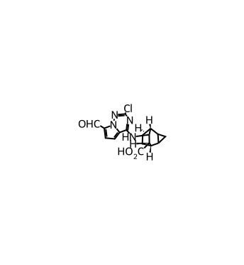 O=Cc1ccc2c(N[C@@H]3[C@@H](C(=O)O)[C@H]4CC[C@@H]3C3CC34)nc(Cl)nn12